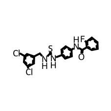 O=C(Nc1ccc(NC(=S)NCc2cc(Cl)cc(Cl)c2)cc1)c1ccccc1F